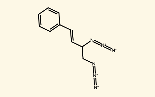 [N-]=[N+]=NCC(C=Cc1ccccc1)N=[N+]=[N-]